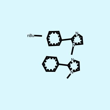 CCCCC.Cn1ccnc1-c1ccccc1.Cn1ccnc1-c1ccccc1